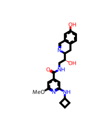 COc1cc(C(=O)NC[C@@H](O)C2Cc3ccc(O)cc3C=N2)cc(NC2CCC2)n1